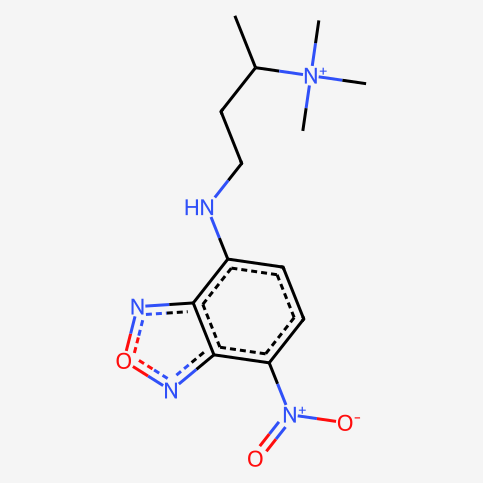 CC(CCNc1ccc([N+](=O)[O-])c2nonc12)[N+](C)(C)C